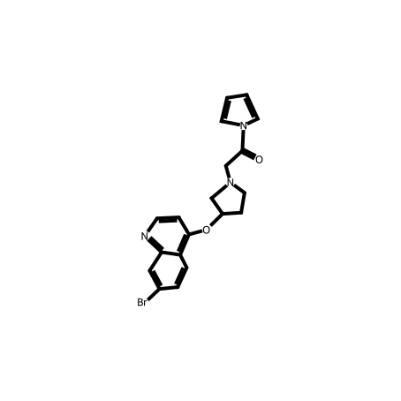 O=C(CN1CCC(Oc2ccnc3cc(Br)ccc23)C1)n1cccc1